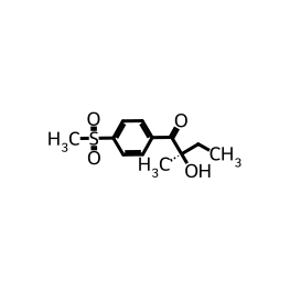 CC[C@@](C)(O)C(=O)c1ccc(S(C)(=O)=O)cc1